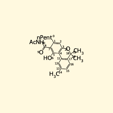 CCCCCc1cc2c(c(O)c1C(=O)NC(C)=O)-c1cc(C)ccc1C(C)(C)O2